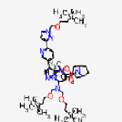 CC(C)(C)OC(=O)N1C2CCC1CC(c1cc(N(COCC[Si](C)(C)C)COCC[Si](C)(C)C)n3ncc(-c4ccc(-c5ccn(COCC[Si](C)(C)C)n5)nc4)c3n1)C2